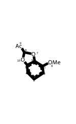 COc1cccc2c1OC(C(C)=O)O2